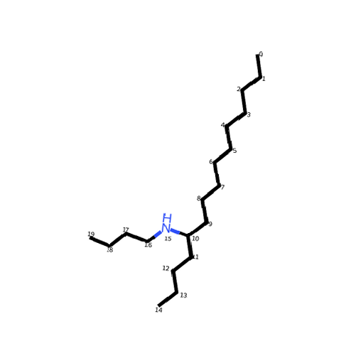 CCCCCCCCCCC(CCCC)NCCCC